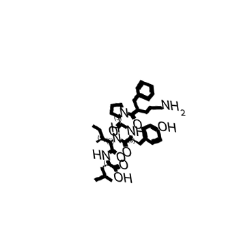 CC[C@H](C)[C@H](NC(=O)[C@H](Cc1ccc(O)cc1)NC(=O)[C@@H]1CCCN1C(=O)C(CCCN)Cc1ccccc1)C(=O)N[C@@H](CC(C)C)C(=O)O